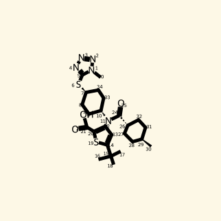 Cn1nnnc1S[C@H]1CC[C@@H](N(c2cc(C(C)(C)C)sc2C(=O)O)C(=O)[C@H]2CC[C@H](C)CC2)CC1